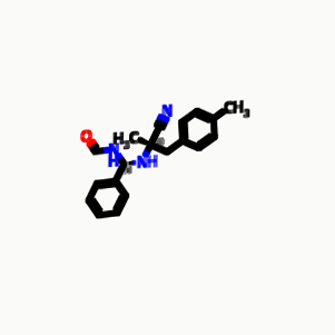 Cc1ccc(C[C@@](C)(C#N)N[C@@H](NC=O)c2ccccc2)cc1